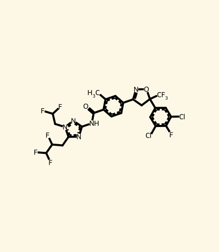 Cc1cc(C2=NOC(c3cc(Cl)c(F)c(Cl)c3)(C(F)(F)F)C2)ccc1C(=O)Nc1nc(CC(F)C(F)F)n(CC(F)F)n1